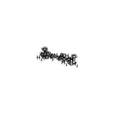 CC1(C)C2=CCCC=C2N(c2ccccc2)c2ccc(-c3ccc4c(c3)C(C)(C)c3cc(/C=C/c5ccc(-c6ccc7c(c6)C(C)(C)c6ccccc6N7c6ccccc6)cc5)ccc3-4)cc21